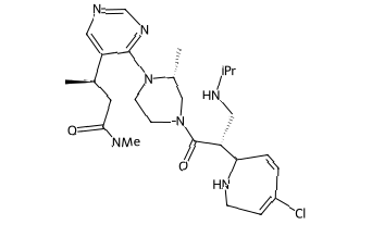 CNC(=O)C[C@@H](C)c1cncnc1N1CCN(C(=O)[C@H](CNC(C)C)C2C=CC(Cl)=CCN2)C[C@H]1C